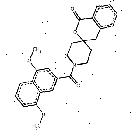 COc1cc(C(=O)N2CCC3(CC2)Cc2ccccc2C(=O)O3)cc2c(OC)cccc12